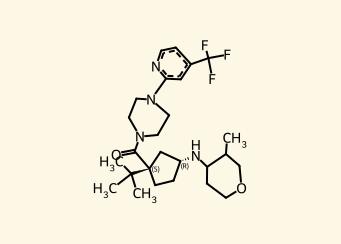 CC1COCCC1N[C@@H]1CC[C@@](C(=O)N2CCN(c3cc(C(F)(F)F)ccn3)CC2)(C(C)(C)C)C1